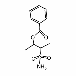 CC(OC(=O)c1ccccc1)C(C)S(N)(=O)=O